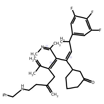 C=C(CCNCC(C)C)C/C(C(=C)C)=C(C(=C/C(C)c1cc(F)c(F)c(F)c1)\C1CCCC(=O)C1)/C(C)=N\C